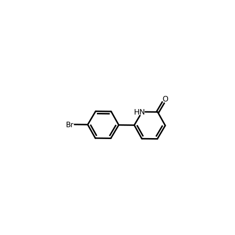 O=c1cccc(-c2ccc(Br)cc2)[nH]1